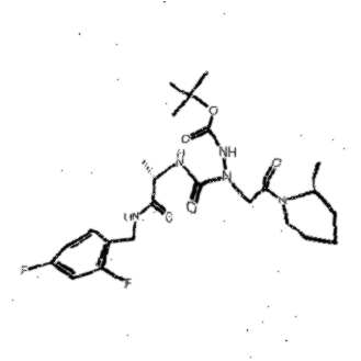 C[C@H](NC(=O)N(CC(=O)N1CCCC[C@@H]1C)NC(=O)OC(C)(C)C)C(=O)NCc1ccc(F)cc1F